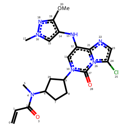 C=CC(=O)N(C)C1CCC(n2cc(Nc3cn(C)nc3OC)c3ncc(Cl)n3c2=O)C1